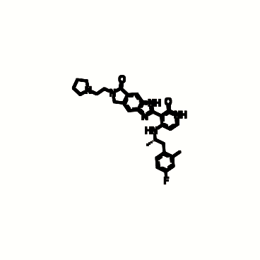 Cc1cc(F)ccc1C[C@H](C)Nc1cc[nH]c(=O)c1-c1nc2cc3c(cc2[nH]1)C(=O)N(CCN1CCCC1)C3